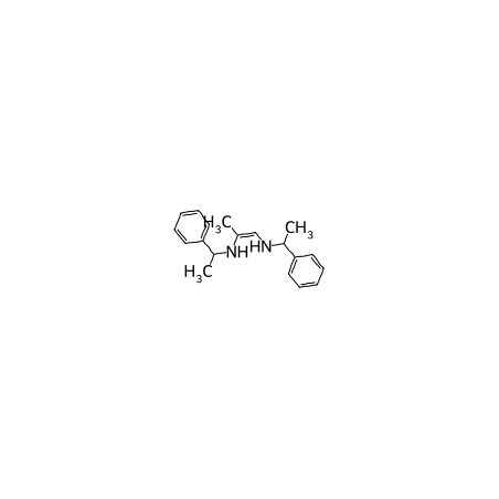 CC(=CNC(C)c1ccccc1)NC(C)c1ccccc1